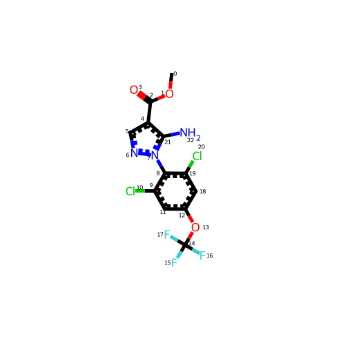 COC(=O)c1cnn(-c2c(Cl)cc(OC(F)(F)F)cc2Cl)c1N